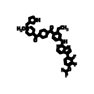 CCc1cc(Nc2nccn3c(-c4ccc(OC(F)F)c(F)c4F)cnc23)ccc1C(=O)N1CCN(C(=O)C2CC[N+](C)(CC3CCNC3)CC2)CC1